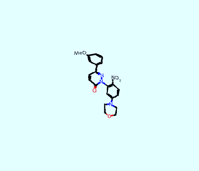 COc1cccc(-c2ccc(=O)n(-c3cc(N4CCOCC4)ccc3[N+](=O)[O-])n2)c1